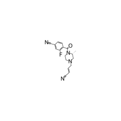 C[C@@H]1CN(C/C=C/C#N)CCN1C(=O)c1ccc(C#N)cc1F